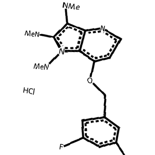 CNc1c(NC)n(NC)c2c(OCc3cc(F)cc(F)c3)ccnc12.Cl